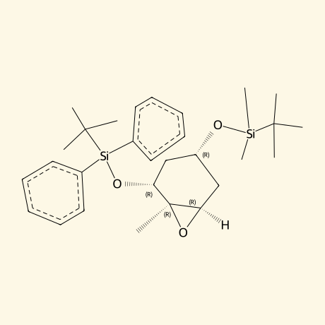 CC(C)(C)[Si](C)(C)O[C@@H]1C[C@H]2O[C@@]2(C)[C@H](O[Si](c2ccccc2)(c2ccccc2)C(C)(C)C)C1